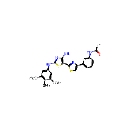 COc1cc(Nc2nc(N)c(-c3nc(-c4cccc(NC(=O)C(C)C)c4)cs3)s2)cc(OC)c1OC